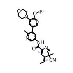 C=N/C(=C\C(=C/C)C(C)(C)C#N)C(=O)Nc1cnc(C)c(-c2cnc(OC(C)C)c(N3CCOCC3)c2)c1